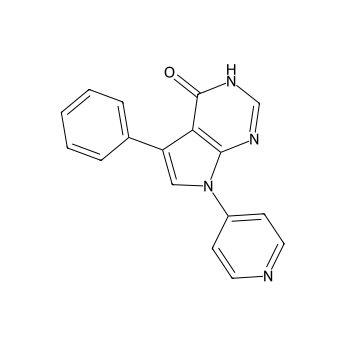 O=c1[nH]cnc2c1c(-c1ccccc1)cn2-c1ccncc1